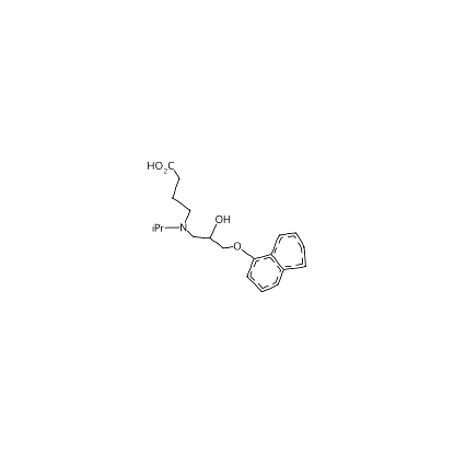 CC(C)N(CCCC(=O)O)CC(O)COc1cccc2ccccc12